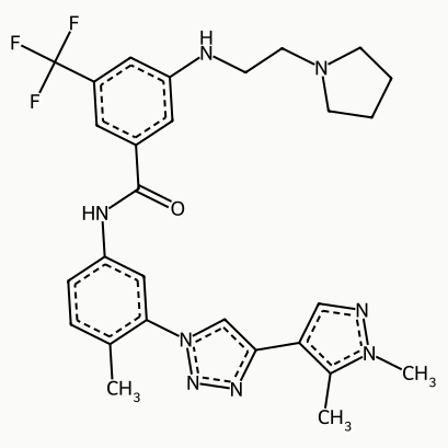 Cc1ccc(NC(=O)c2cc(NCCN3CCCC3)cc(C(F)(F)F)c2)cc1-n1cc(-c2cnn(C)c2C)nn1